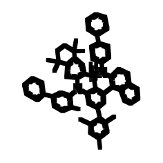 Cc1cc(C)c(-c2cc(-c3c(Nc4ccc(-c5ccccc5)cc4)ccc4ccccc34)c3c(c2)N(c2cc(-c4ccccc4)ccc2C)c2cc4c(cc2B3)C(C)(C)CCC4(C)C)c(C)c1